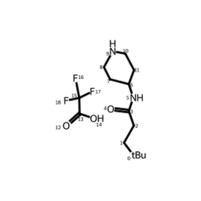 CC(C)(C)CCC(=O)NC1CCNCC1.O=C(O)C(F)(F)F